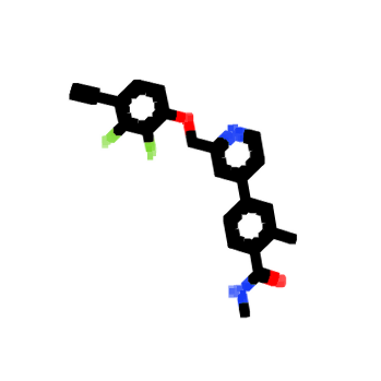 C#Cc1ccc(OCc2cc(-c3ccc(C(=O)NC)c(C)c3)ccn2)c(F)c1F